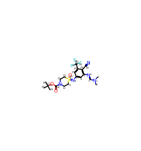 CN(C)/C=N/c1cc(N=S2(=O)CCN(C(=O)OC(C)(C)C)CC2)cc(C(F)(F)F)c1C#N